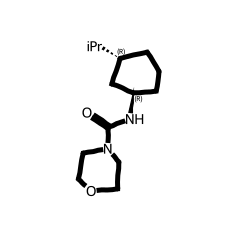 CC(C)[C@@H]1CCC[C@@H](NC(=O)N2CCOCC2)C1